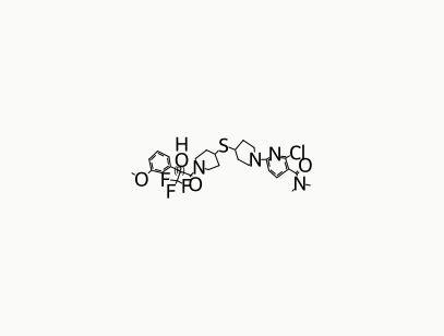 COc1cccc([C@@](O)(C(=O)N2CCC(SC3CCN(c4ccc(C(=O)N(C)C)c(Cl)n4)CC3)CC2)C(F)(F)F)c1